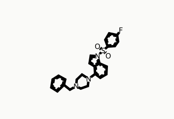 O=S(=O)(c1ccc(F)cc1)n1ccc2c(N3CCN(Cc4ccccc4)CC3)cccc21